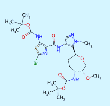 CO[C@H]1CO[C@H](c2c(NC(=O)c3nc(Br)sc3NC(=O)OC(C)(C)C)cnn2C)CC[C@H]1NC(=O)OC(C)(C)C